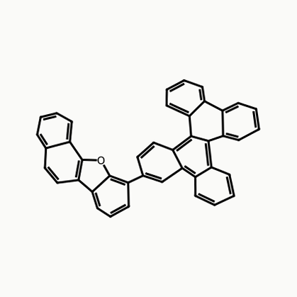 c1ccc2c(c1)ccc1c3cccc(-c4ccc5c(c4)c4ccccc4c4c6ccccc6c6ccccc6c54)c3oc21